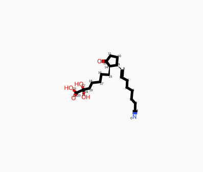 N#CCCCCCC=C[C@H]1CCC(=O)[C@@H]1CCCCCC(O)(O)C(=O)O